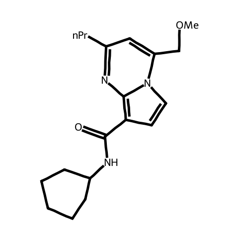 CCCc1cc(COC)n2ccc(C(=O)NC3CCCCC3)c2n1